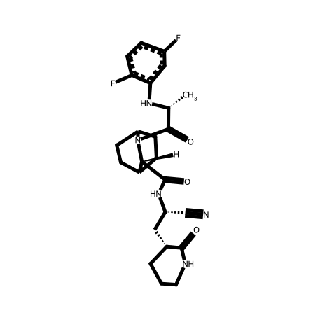 C[C@@H](Nc1cc(F)ccc1F)C(=O)N1C2CCC(CC2)[C@H]1C(=O)N[C@H](C#N)C[C@H]1CCCNC1=O